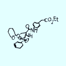 CCOC(=O)Cc1ccc(NC(=O)C(COC2CCCCO2)NS(=O)(=O)c2ccccc2)cc1